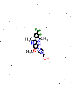 COc1cc2nc(C)cc(NC(C)c3cccc(C(F)F)c3F)c2cc1N1CCN(CCO)CC1